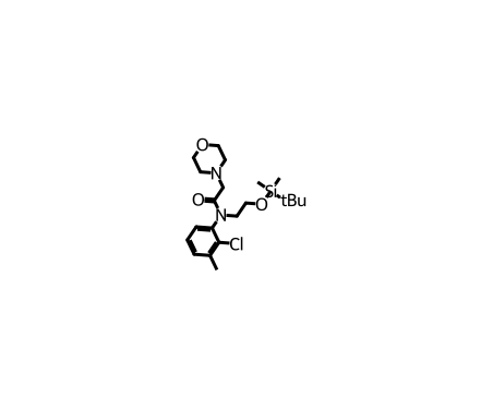 Cc1cccc(N(CCO[Si](C)(C)C(C)(C)C)C(=O)CN2CCOCC2)c1Cl